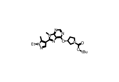 CCn1ncc(-c2nc3c(O[C@H]4CCN(C(=O)OC(C)(C)C)C4)ncnc3n2C)c1C